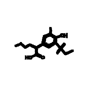 CCCCC(C(=O)O)c1cc(C)c(O)c(C(C)(C)CC)c1